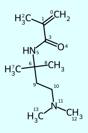 C=C(C)C(=O)NC(C)(C)CCN(C)C